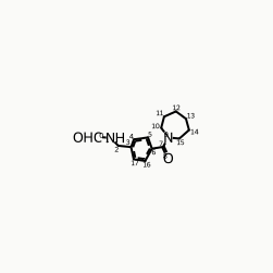 O=CNCc1ccc(C(=O)N2CCCCCC2)cc1